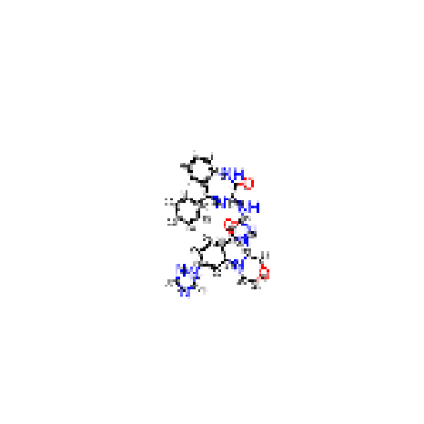 O=C1Nc2ccccc2C(c2ccccc2)=NC1Nc1nnc(C2C=CC(n3cncn3)=CC2N2CCOCC2)o1